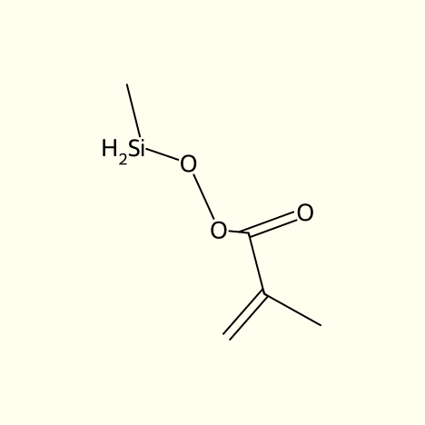 C=C(C)C(=O)OO[SiH2]C